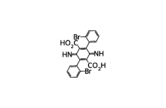 N=C1C(C(=O)O)=C(c2ccccc2Br)C(=N)C(C(=O)O)=C1c1ccccc1Br